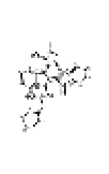 O=C1NCc2c1c1c3ccccc3n(CC(O)CN3CCCCC3)c1c1[nH]c3ccccc3c21